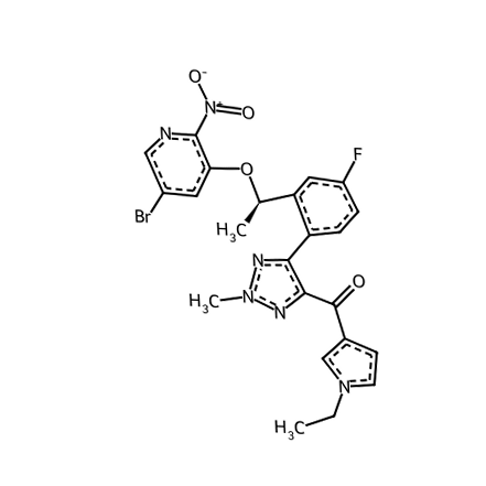 CCn1ccc(C(=O)c2nn(C)nc2-c2ccc(F)cc2[C@@H](C)Oc2cc(Br)cnc2[N+](=O)[O-])c1